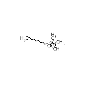 CCCCCCCCCCO[Si](CC)(OCC)OCC